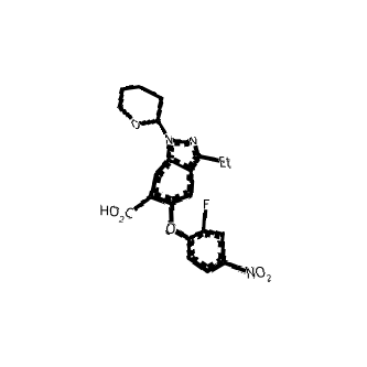 CCc1nn(C2CCCCO2)c2cc(C(=O)O)c(Oc3ccc([N+](=O)[O-])cc3F)cc12